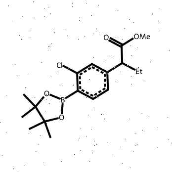 CCC(C(=O)OC)c1ccc(B2OC(C)(C)C(C)(C)O2)c(Cl)c1